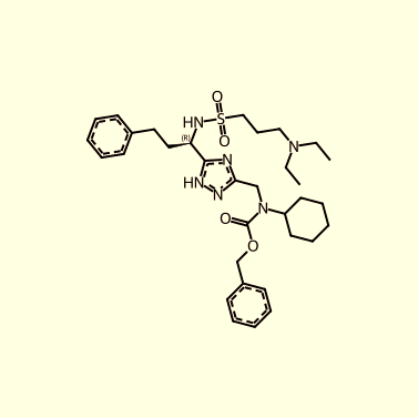 CCN(CC)CCCS(=O)(=O)N[C@H](CCc1ccccc1)c1nc(CN(C(=O)OCc2ccccc2)C2CCCCC2)n[nH]1